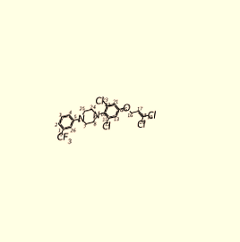 FC(F)(F)c1cccc(N2CCN(c3c(Cl)cc(OCC=C(Cl)Cl)cc3Cl)CC2)c1